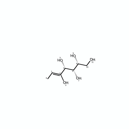 CC=C(O)[C@H](O)[C@@H](O)[C@H](O)CO